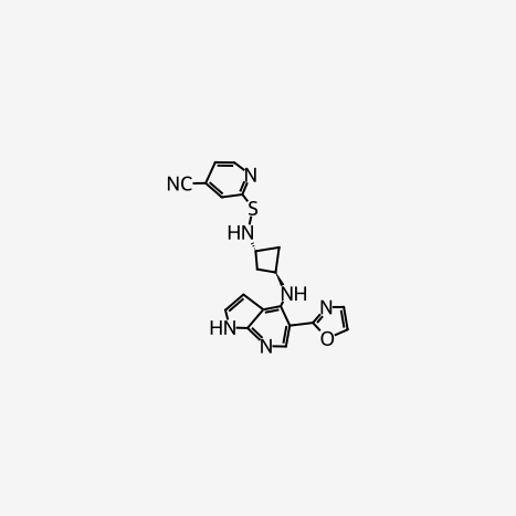 N#Cc1ccnc(SN[C@H]2C[C@H](Nc3c(-c4ncco4)cnc4[nH]ccc34)C2)c1